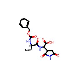 C[C@@H](NC(=O)OCc1ccccc1)C(=O)NC(C(=O)O)C1CC(=O)NC1=O.[NaH]